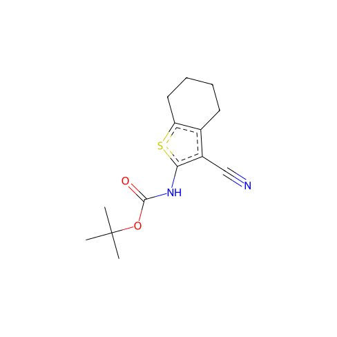 CC(C)(C)OC(=O)Nc1sc2c(c1C#N)CCCC2